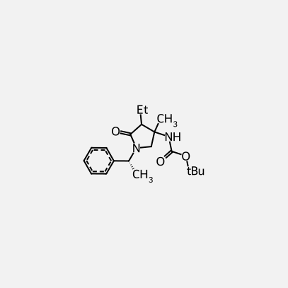 CCC1C(=O)N([C@H](C)c2ccccc2)CC1(C)NC(=O)OC(C)(C)C